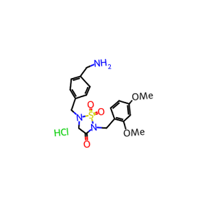 COc1ccc(CN2C(=O)CN(Cc3ccc(CN)cc3)S2(=O)=O)c(OC)c1.Cl